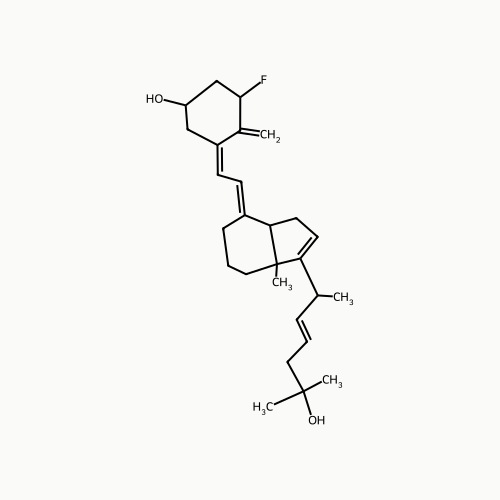 C=C1/C(=C\C=C2/CCCC3(C)C(C(C)/C=C/CC(C)(C)O)=CCC23)CC(O)CC1F